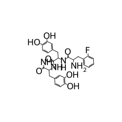 NC(=O)C(Cc1ccc(O)c(O)c1)NC(=O)C(Cc1ccc(O)c(O)c1)NC(=O)C(N)Cc1ccccc1F